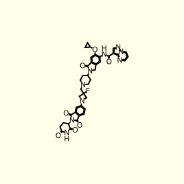 O=C1CCC(N2C(=O)c3ccc(N4CC(F)(CN5CCC(N6Cc7cc(NC(=O)c8cnn9cccnc89)c(OC8CC8)cc7C6=O)CC5)C4)cc3C2=O)C(=O)N1